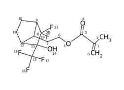 C=C(C)C(=O)OCCC1C2CCC1C(O)(C(F)(F)F)C2(F)F